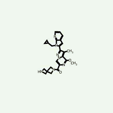 COc1nc(C(=O)N2CC3(CNC3)C2)cn2nc(-c3cc4cccnc4n3CC3CC3)c(C)c12